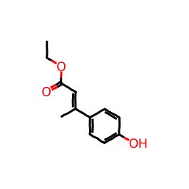 CCOC(=O)/C=C(\C)c1ccc(O)cc1